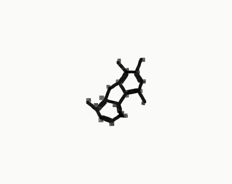 Cc1cc(C)c2c(c1C)Cc1c(C)ccnc1-2